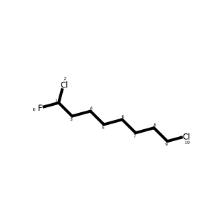 FC(Cl)CCCCCCCCl